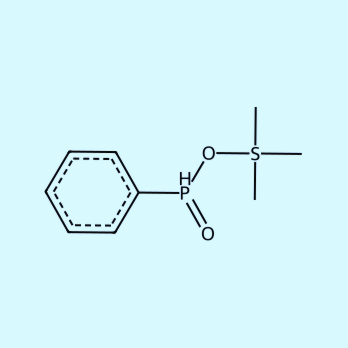 CS(C)(C)O[PH](=O)c1ccccc1